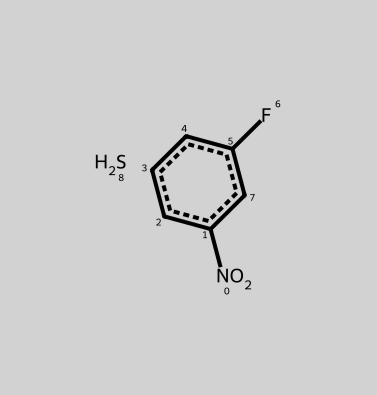 O=[N+]([O-])c1cccc(F)c1.S